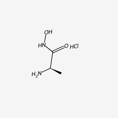 C[C@@H](N)C(=O)NO.Cl